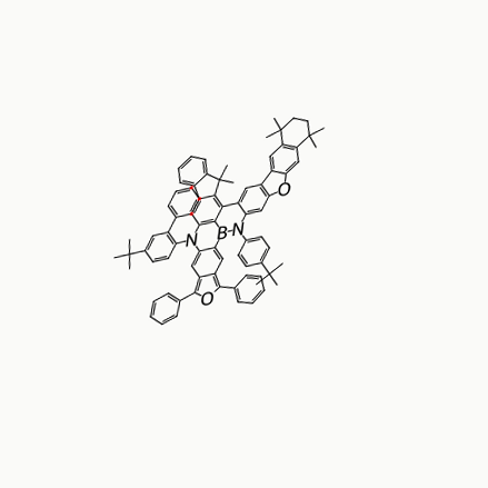 CC(C)(C)c1ccc(N2B3c4cc5c(-c6ccccc6)oc(-c6ccccc6)c5cc4N(c4ccc(C(C)(C)C)cc4-c4ccccc4)c4cc5c(c(c43)-c3cc4c(cc32)oc2cc3c(cc24)C(C)(C)CCC3(C)C)C(C)(C)c2ccccc2-5)cc1